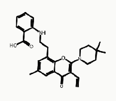 C=Cc1c(N2CCC(C)(C)CC2)oc2c(CCNc3ccccc3C(=O)O)cc(C)cc2c1=O